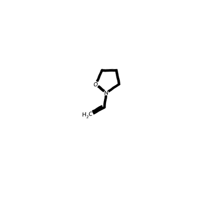 C=CN1CCCO1